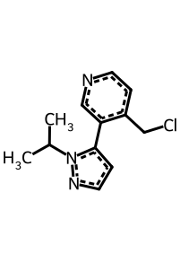 CC(C)n1nccc1-c1cnccc1CCl